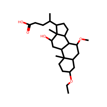 CCOC1CCC2(C)C(C1)CC(OC)C1C2CC(O)C2(C)C(C(C)CCC(=O)O)CCC12